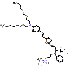 CCCCCCCCN(CCCCCCCC)c1ccc(/C=C/c2ccc(/C=C/C3N(CCC[N+](C)(C)C)c4ccccc4C3(C)C)s2)cc1